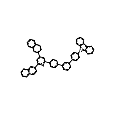 c1cc(-c2ccc(-c3cc(-c4ccc5ccccc5c4)cc(-c4ccc5ccccc5c4)n3)cc2)cc(-c2ccc(-n3c4ccccc4c4ccccc43)cc2)c1